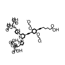 COCCOc1cc(C#Cc2cc(-n3ccc(CN(C[PH](=O)O)C[PH](=O)O)n3)nc(-n3ccc(CN(C[PH](=O)O)CP(=O)(O)O)n3)c2)c(OCCOC)cc1C#CCCCCC(=O)O